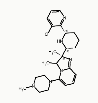 CC1N2C(N3CCN(C)CC3)=CC=CC2=N[C@]1(C)[C@H]1CCC[C@@H](c2ncccc2Cl)N1